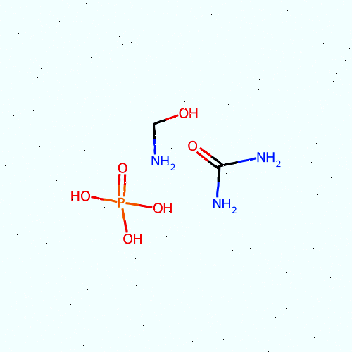 NC(N)=O.NCO.O=P(O)(O)O